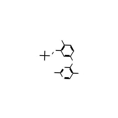 Cc1cnc(Cl)nc1Nc1ccc(Cl)c(SNC(C)(C)C)c1